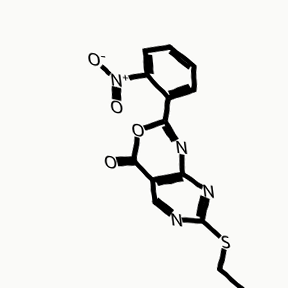 CCSc1ncc2c(=O)oc(-c3ccccc3[N+](=O)[O-])nc2n1